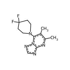 Cc1nc2ncnn2c(N2CCC(F)(F)CC2)c1C